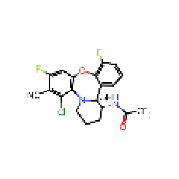 N#Cc1c(F)cc2c(c1Cl)N1CCC[C@@H](NC(=O)C(F)(F)F)[C@@H]1c1cccc(F)c1O2